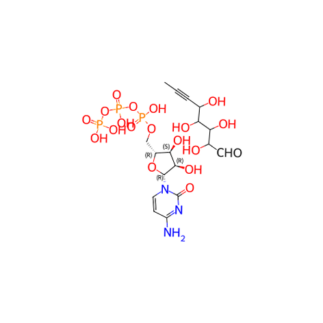 CC#CC(O)C(O)C(O)C(O)C=O.Nc1ccn([C@@H]2O[C@H](COP(=O)(O)OP(=O)(O)OP(=O)(O)O)[C@@H](O)[C@H]2O)c(=O)n1